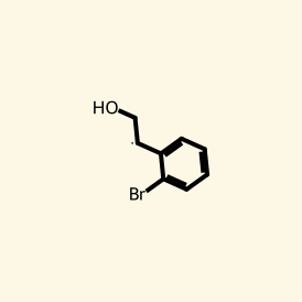 OC[CH]c1ccccc1Br